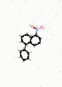 O=[N+]([O-])c1cccc2c(-c3ccccc3)cccc12